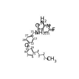 CCCCCc1cccc(Oc2ccc(CNC(=O)c3ccc(F)nc3N)cc2)c1